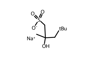 CC(C)(C)CC(C)(O)CS(=O)(=O)[O-].[Na+]